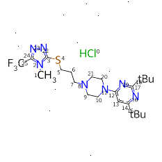 Cl.Cn1c(SCCCN2CCN(c3cc(C(C)(C)C)nc(C(C)(C)C)n3)CC2)nnc1C(F)(F)F